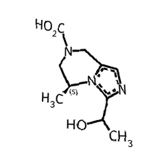 CC(O)c1ncc2n1[C@@H](C)CN(C(=O)O)C2